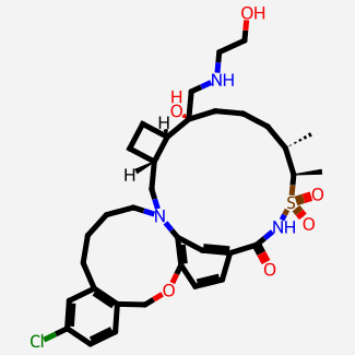 C[C@@H]1[C@@H](C)CCC[C@](O)(CNCCO)[C@@H]2CC[C@H]2CN2CCCCc3cc(Cl)ccc3COc3ccc(cc32)C(=O)NS1(=O)=O